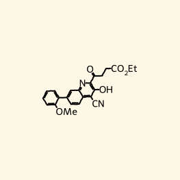 CCOC(=O)CCC(=O)c1nc2cc(-c3ccccc3OC)ccc2c(C#N)c1O